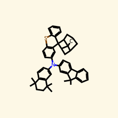 CC1(C)CCC(C)(C)c2cc(N(c3ccc4c(c3)C(C)(C)c3ccccc3-4)c3ccc4c(c3)C3(c5ccccc5S4)C4CC5CC6CC3C64C5)ccc21